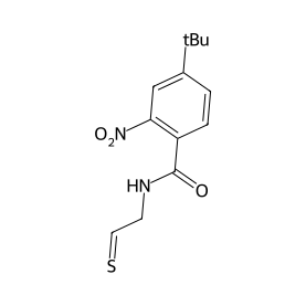 CC(C)(C)c1ccc(C(=O)NCC=S)c([N+](=O)[O-])c1